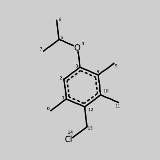 Cc1cc(OC(C)C)c(C)c(C)c1CCl